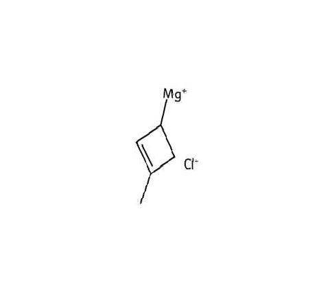 CC1=C[CH]([Mg+])C1.[Cl-]